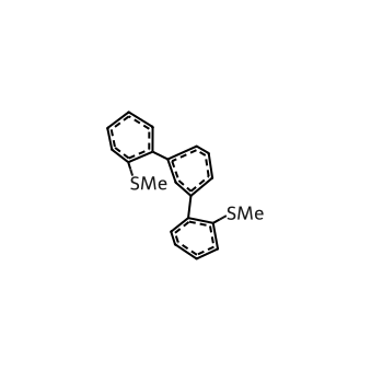 CSc1ccccc1-c1cccc(-c2ccccc2SC)c1